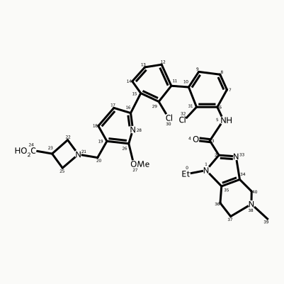 CCn1c(C(=O)Nc2cccc(-c3cccc(-c4ccc(CN5CC(C(=O)O)C5)c(OC)n4)c3Cl)c2Cl)nc2c1CCN(C)C2